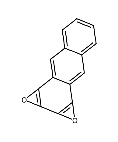 c1ccc2cc3c(cc2c1)c1oc1c1oc31